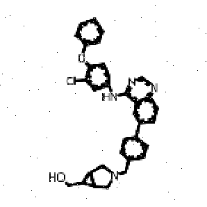 OCC1C2CN(Cc3ccc(-c4ccc5ncnc(Nc6ccc(Oc7ccccc7)c(Cl)c6)c5c4)cc3)CC12